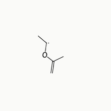 C=C(C)O[CH]C